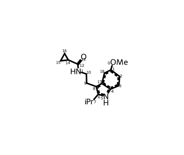 COc1ccc2[nH]c(C(C)C)c(CCNC(=O)C3CC3)c2c1